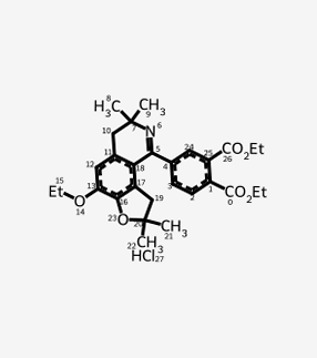 CCOC(=O)c1ccc(C2=NC(C)(C)Cc3cc(OCC)c4c(c32)CC(C)(C)O4)cc1C(=O)OCC.Cl